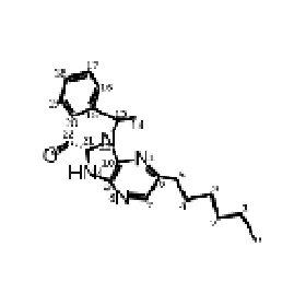 CCCCCCc1cnc2c(n1)N(C(C)c1ccccc1)[C@@H](C=O)N2